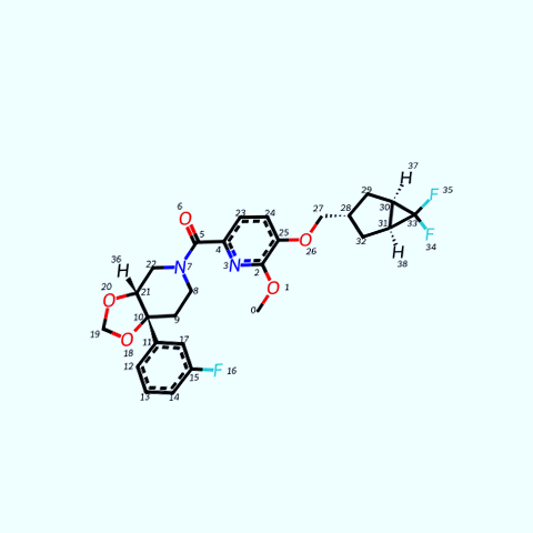 COc1nc(C(=O)N2CC[C@]3(c4cccc(F)c4)OCO[C@@H]3C2)ccc1OC[C@@H]1C[C@@H]2[C@H](C1)C2(F)F